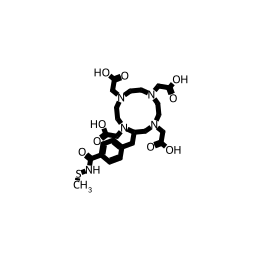 CSNC(=O)c1ccc(CC2CN(CC(=O)O)CCN(CC(=O)O)CCN(CC(=O)O)CCN2CC(=O)O)cc1